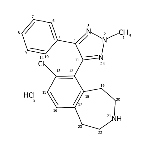 Cl.Cn1nc(-c2ccccc2)c(-c2c(Cl)ccc3c2CCNCC3)n1